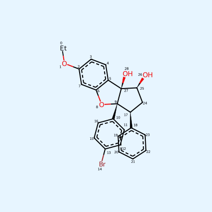 CCOc1ccc2c(c1)O[C@@]1(c3ccc(Br)cc3)[C@H](c3ccccc3)C[C@H](O)[C@@]21O